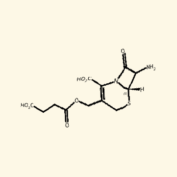 NC1C(=O)N2C(C(=O)O)=C(COC(=O)CCC(=O)O)CS[C@@H]12